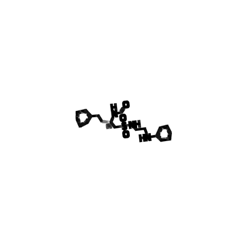 O=CN[C@@H](CCc1ccccc1)CS(=O)(=O)NCCNc1ccccc1